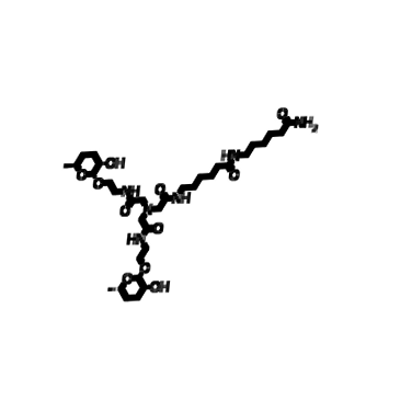 C[C@H]1CC[C@H](O)[C@H](OCCNC(=O)CN(CC(=O)NCCCCCC(=O)NCCCCCC(N)=O)CC(=O)NCCO[C@@H]2O[C@@H](C)CC[C@@H]2O)O1